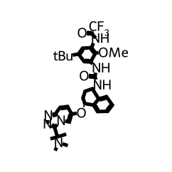 COc1c(NC(=O)N[C@H]2CC[C@@H](Oc3ccc4nnc(C(C)(C)N(C)C)n4c3)c3ccccc32)cc(C(C)(C)C)cc1NC(=O)C(F)(F)F